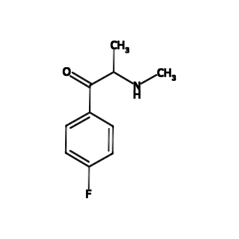 CNC(C)C(=O)c1ccc(F)cc1